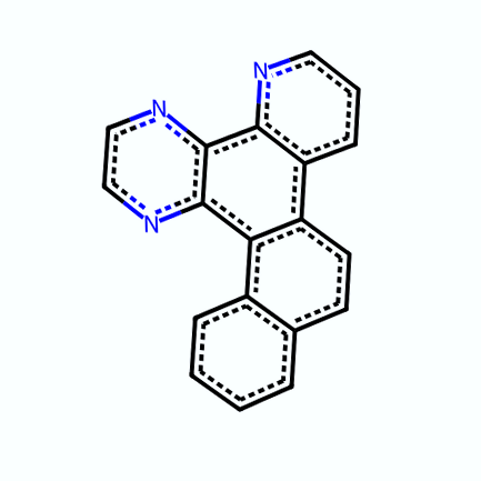 c1ccc2c(c1)ccc1c3cccnc3c3nccnc3c21